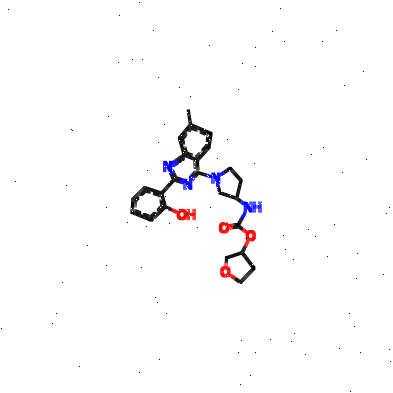 Cc1ccc2c(N3CCC(NC(=O)OC4CCOC4)C3)nc(-c3ccccc3O)nc2c1